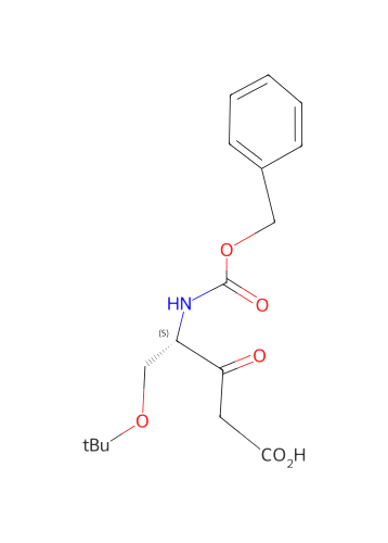 CC(C)(C)OC[C@H](NC(=O)OCc1ccccc1)C(=O)CC(=O)O